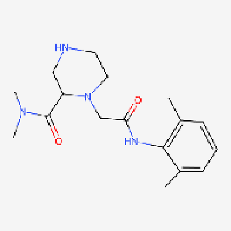 Cc1cccc(C)c1NC(=O)CN1CCNCC1C(=O)N(C)C